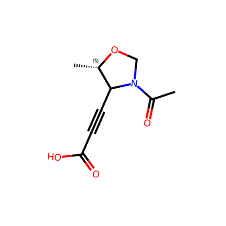 CC(=O)N1CO[C@@H](C)C1C#CC(=O)O